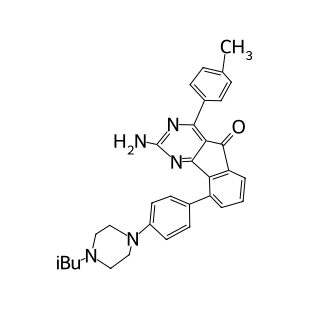 CCC(C)N1CCN(c2ccc(-c3cccc4c3-c3nc(N)nc(-c5ccc(C)cc5)c3C4=O)cc2)CC1